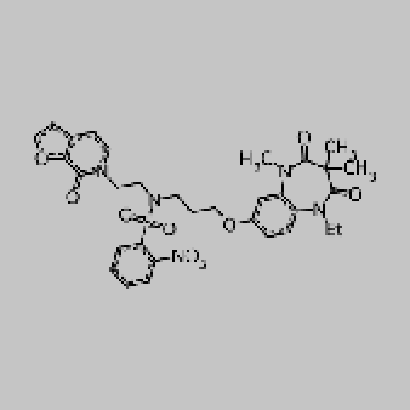 CCN1C(=O)C(C)(C)C(=O)N(C)c2cc(OCCCN(CCn3ccc4ccoc4c3=O)S(=O)(=O)c3ccccc3[N+](=O)[O-])ccc21